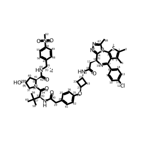 Cc1sc2c(c1C)C(c1ccc(Cl)cc1)=N[C@@H](CC(=O)N[C@H]1C[C@H](Oc3ccc(CC(=O)N[C@H](C(=O)N4C[C@H](O)C[C@H]4C(=O)N[C@@H](C)c4ccc(S(C)(=O)=O)cc4)C(C)(C)C)cc3)C1)c1nnc(C)n1-2